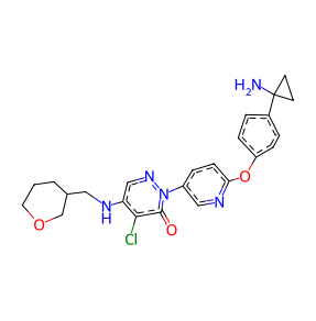 NC1(c2ccc(Oc3ccc(-n4ncc(NCC5CCCOC5)c(Cl)c4=O)cn3)cc2)CC1